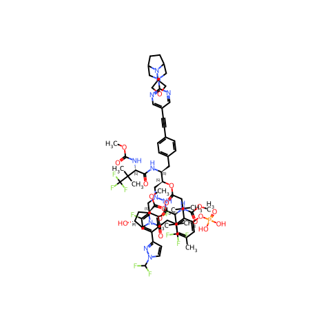 COC(=O)N[C@H](C(=O)N[C@@H](Cc1ccc(C#Cc2cnc(N3CC4CCC(C3)N4C3COC3)nc2)cc1)[C@H](CN(Cc1c(F)cc(-c2ccn(C(F)F)n2)cc1F)NC(=O)[C@@H](NC(=O)OC)C(C)(C)C(F)(F)F)OC(=O)CC(C)(C)c1c(CC(=O)N2C[C@H](O)C[C@H]2C(=O)OC)cc(C)cc1OP(=O)(O)O)C(C)(C)C(F)(F)F